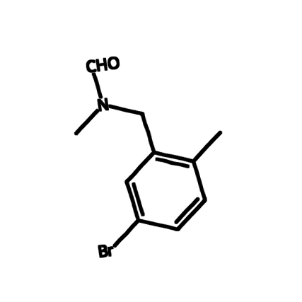 Cc1ccc(Br)cc1CN(C)C=O